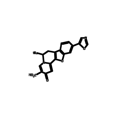 CC(C)(C)C1Cc2c(oc3cc(-c4cnco4)ccc23)-c2cc(=O)c(C(=O)O)cn21